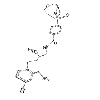 CCc1ccc(CCC(O)CNC(=O)c2ccc(C(=O)N3C4CCC3COC4)cc2)c(CN)c1